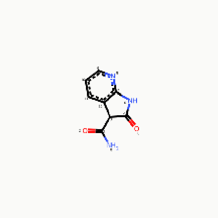 NC(=O)C1C(=O)Nc2ncccc21